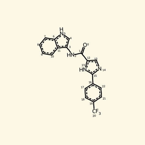 O=C(Nc1c[nH]c2ccccc12)c1cnc(-c2ccc(C(F)(F)F)cc2)[nH]1